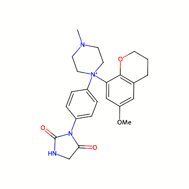 COc1cc2c(c([N+]3(c4ccc(N5C(=O)CNC5=O)cc4)CCN(C)CC3)c1)OCCC2